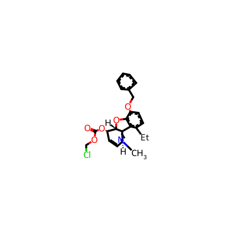 CCc1ccc(OCc2ccccc2)c2c1[C@]13CCN(C)[C@@H]1C=C[C@H](OC(=O)OCCl)[C@@H]3O2